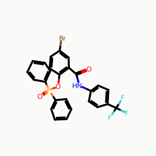 O=C(Nc1ccc(C(F)(F)F)cc1)c1cc(Br)ccc1OP(=O)(c1ccccc1)c1ccccc1